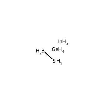 B[SiH3].[GeH4].[InH3]